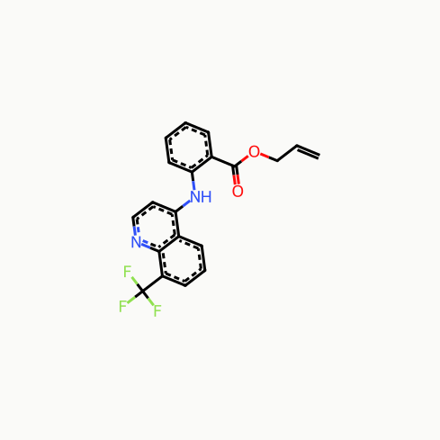 C=CCOC(=O)c1ccccc1Nc1ccnc2c(C(F)(F)F)cccc12